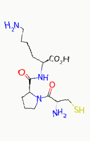 NCCCC[C@H](NC(=O)[C@@H]1CCCN1C(=O)[C@@H](N)CS)C(=O)O